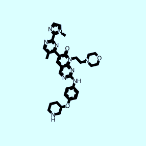 Cc1cnc(-c2nccn2C)nc1-c1cc2cnc(Nc3ccc(OC4CCCNC4)cc3)nc2n(CCN2CCOCC2)c1=O